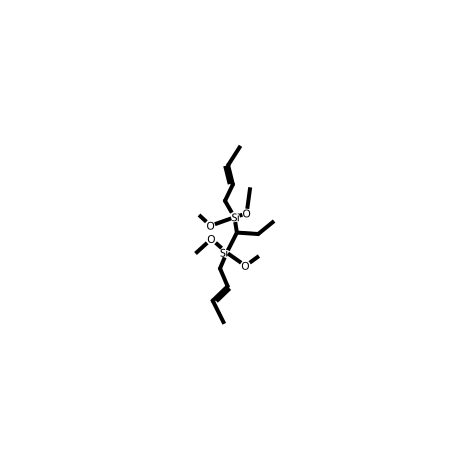 CC=CC[Si](OC)(OC)C(CC)[Si](CC=CC)(OC)OC